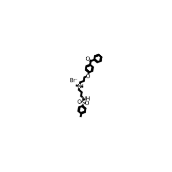 Cc1ccc(S(=O)(=O)NCCC[N+](C)(C)CCCOc2ccc(C(=O)c3ccccc3)cc2)cc1.[Br-]